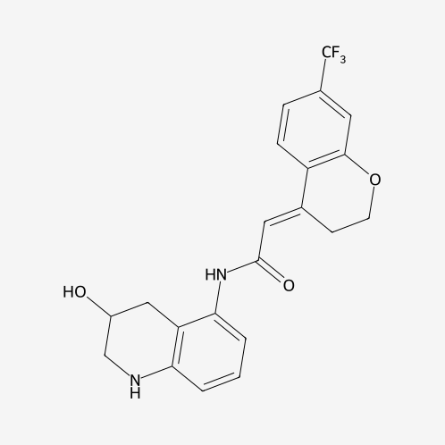 O=C(C=C1CCOc2cc(C(F)(F)F)ccc21)Nc1cccc2c1CC(O)CN2